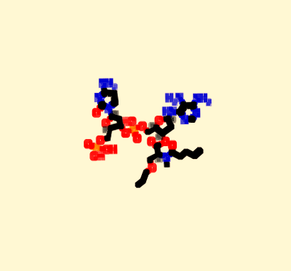 C=CCCC(=O)N(C)[C@@H](COCCC)C(=O)O[C@H]1C[C@H](Nc2ncnc(N)c2N)O[C@@H]1COP(=O)(O)OC1C[C@H](n2ccc(N)nc2=O)O[C@@H]1COP(=O)(O)O